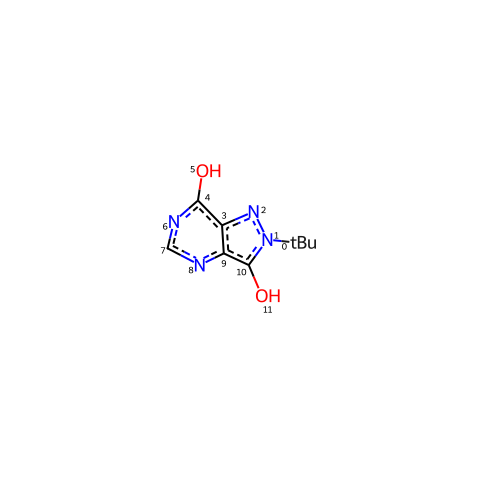 CC(C)(C)n1nc2c(O)ncnc2c1O